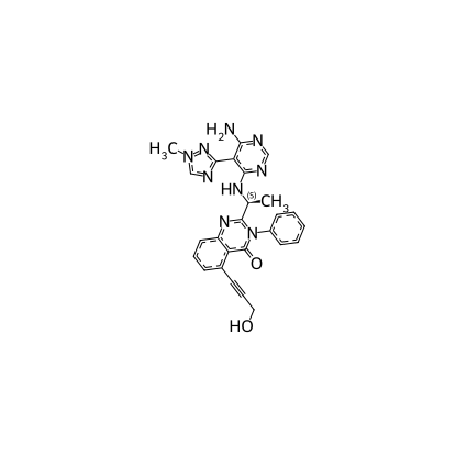 C[C@H](Nc1ncnc(N)c1-c1ncn(C)n1)c1nc2cccc(C#CCO)c2c(=O)n1-c1ccccc1